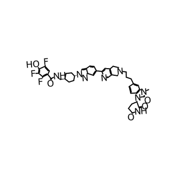 Cn1c(=O)n(C2CCC(=O)NC2=O)c2ccc(CCCN3CCc4cc(-c5ccc6cn([C@H]7CC[C@H](CNC(=O)c8cc(F)c(O)c(F)c8F)CC7)nc6c5)ncc4C3)cc21